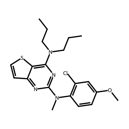 CCCN(CCC)c1nc(N(C)c2ccc(OC)cc2Cl)nc2ccsc12